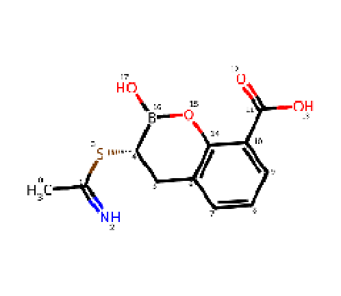 CC(=N)S[C@H]1Cc2cccc(C(=O)O)c2OB1O